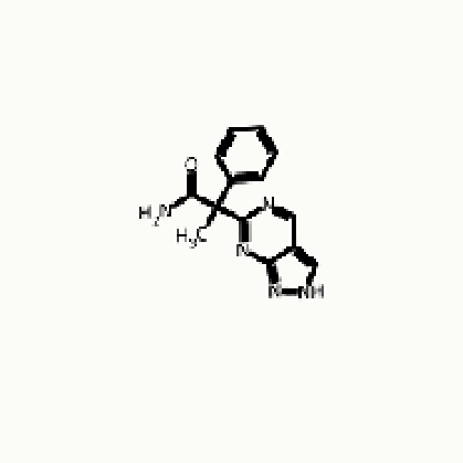 CC(C(N)=O)(c1ccccc1)c1ncc2c[nH]nc2n1